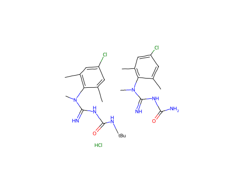 Cc1cc(Cl)cc(C)c1N(C)C(=N)NC(=O)NC(C)(C)C.Cc1cc(Cl)cc(C)c1N(C)C(=N)NC(N)=O.Cl